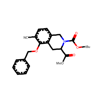 COC(=O)C1Cc2c(ccc(C#N)c2OCc2ccccc2)CN1C(=O)OC(C)(C)C